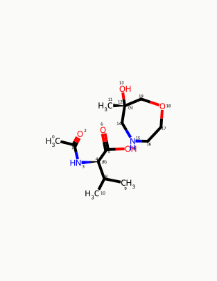 CC(=O)N[C@@H](C(=O)O)C(C)C.C[C@]1(O)CNCCOC1